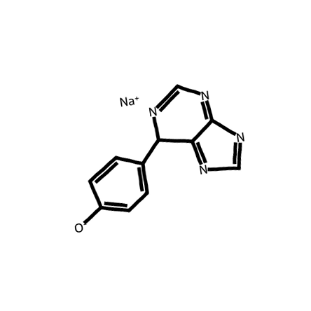 [Na+].[O-]c1ccc(C2N=CN=C3N=CN=C32)cc1